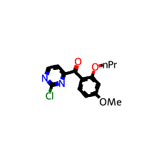 CCCOc1cc(OC)ccc1C(=O)c1ccnc(Cl)n1